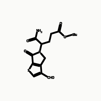 CC(C)(C)OC(=O)CCC(C(N)=O)N1Cc2c(C=O)csc2C1=O